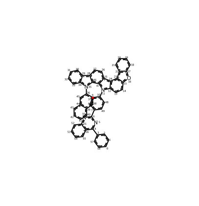 c1ccc(-c2nc(-c3ccc(-n4c5ccc6oc7ccccc7c6c5c5ccc6c7ccccc7n(-c7ccc8ccccc8c7)c6c54)cc3)nc3ccccc23)cc1